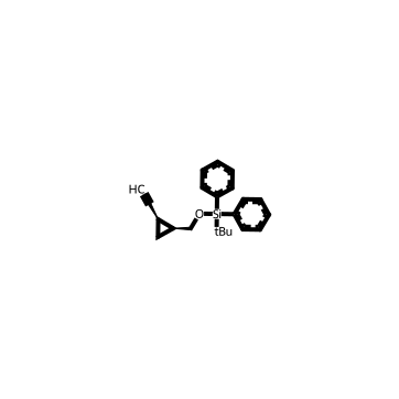 C#C[C@@H]1C[C@@H]1CO[Si](c1ccccc1)(c1ccccc1)C(C)(C)C